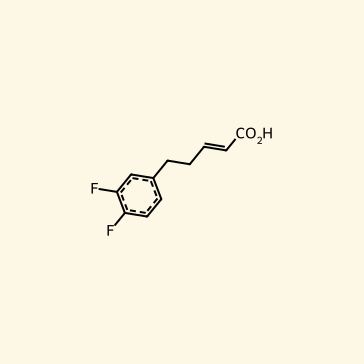 O=C(O)C=CCCc1ccc(F)c(F)c1